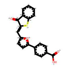 O=C(O)c1ccc(-c2ccc(/C=C3\Sc4ccccc4C3=O)o2)cc1